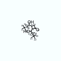 CC(C)(C)[Si](C)(C)C(O)C1CC(=O)C1C(O)[Si](C)(C)C(C)(C)C